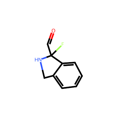 O=CC1(F)NCc2ccccc21